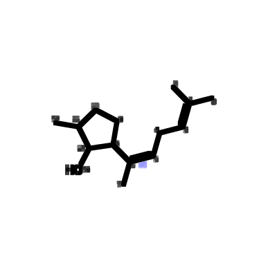 CC(C)=CC/C=C(/C)C1CCC(C)C1O